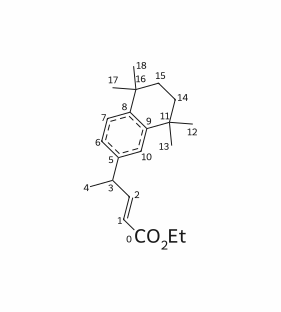 CCOC(=O)C=CC(C)c1ccc2c(c1)C(C)(C)CCC2(C)C